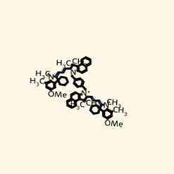 COc1cc(C)c2c(c1)C1(CCCCC1)/C(=C\C=C\C1=[N+](Cc3ccc(C[N+]4=C(/C=C/C=C5/N(C)c6c(C)cc(OC)cc6C56CCCCC6)C(C)(C)c5c4ccc4ccccc54)cc3)c3ccc4ccccc4c3C1(C)C)N2C